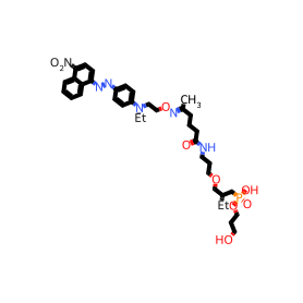 CCC(COCCCNC(=O)CCC/C(C)=N/OCCN(CC)c1ccc(/N=N/c2ccc([N+](=O)[O-])c3ccccc23)cc1)CP(=O)(O)OCCCO